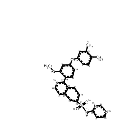 COc1cc(Oc2ccc(C)c(C)c2)ccc1-c1nccc2cc(S(=O)(=O)Nc3ccncn3)ccc12